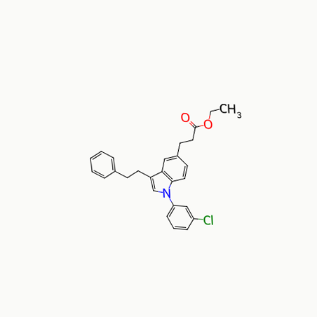 CCOC(=O)CCc1ccc2c(c1)c(CCc1ccccc1)cn2-c1cccc(Cl)c1